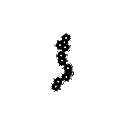 c1ccc2c(c1)-c1cccc3c(-c4ccc5ccc(-c6ccc7oc8ccc(-c9ccc%10ccccc%10c9)cc8c7c6)cc5c4)ccc-2c13